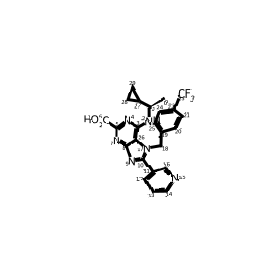 C[C@@H](Nc1nc(C(=O)O)nc2nc(-c3cccnc3)n(Cc3ccc(C(F)(F)F)cc3)c12)C1CC1